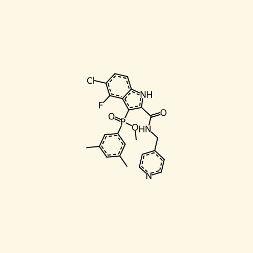 COP(=O)(c1cc(C)cc(C)c1)c1c(C(=O)NCc2ccncc2)[nH]c2ccc(Cl)c(F)c12